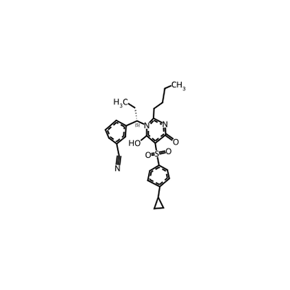 CCCCc1nc(=O)c(S(=O)(=O)c2ccc(C3CC3)cc2)c(O)n1[C@@H](CC)c1cccc(C#N)c1